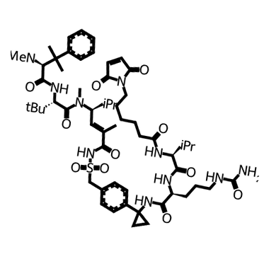 CN[C@H](C(=O)N[C@H](C(=O)N(C)[C@H](/C=C(\C)C(=O)NS(=O)(=O)Cc1ccc(C2(NC(=O)[C@H](CCCNC(N)=O)NC(=O)[C@@H](NC(=O)CCCCCN3C(=O)C=CC3=O)C(C)C)CC2)cc1)C(C)C)C(C)(C)C)C(C)(C)c1ccccc1